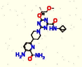 COC[C@@H](C)Oc1nc(C(=O)NC23CC(C2)C3)nc(N2CCC(c3ccc(N)c(C(N)=O)n3)CC2)n1